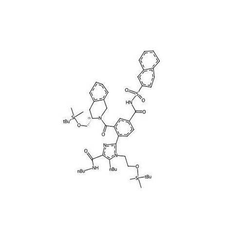 CCCCNC(=O)c1nc(-c2ccc(C(=O)NS(=O)(=O)c3ccc4ccccc4c3)cc2C(=O)N2Cc3ccccc3C[C@H]2CO[Si](C)(C)C(C)(C)C)n(CCO[Si](C)(C)C(C)(C)C)c1CCCC